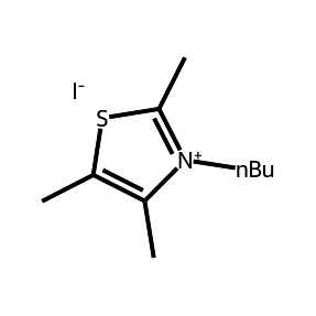 CCCC[n+]1c(C)sc(C)c1C.[I-]